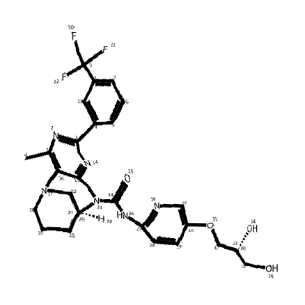 Cc1nc(-c2cccc(C(F)(F)F)c2)nc2c1N1CCC[C@@H](C1)N2C(=O)Nc1ccc(OC[C@H](O)CO)cn1